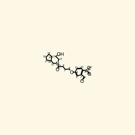 O=Cc1cc(OCCCC(=O)N(CCO)CC2CCCC2)ccc1[N+](=O)[O-]